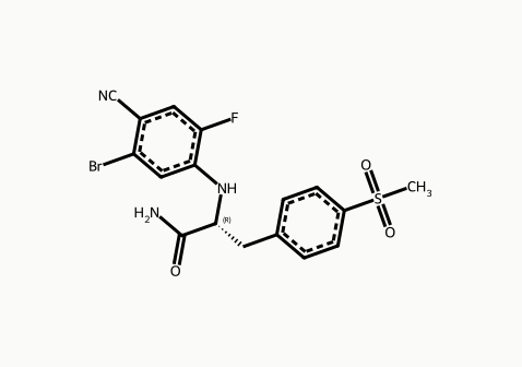 CS(=O)(=O)c1ccc(C[C@@H](Nc2cc(Br)c(C#N)cc2F)C(N)=O)cc1